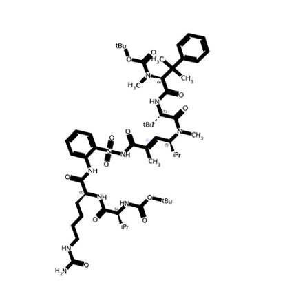 C/C(=C\[C@H](C(C)C)N(C)C(=O)[C@@H](NC(=O)[C@@H](N(C)C(=O)OC(C)(C)C)C(C)(C)c1ccccc1)C(C)(C)C)C(=O)NS(=O)(=O)c1ccccc1NC(=O)[C@H](CCCCNC(N)=O)NC(=O)[C@@H](NC(=O)OC(C)(C)C)C(C)C